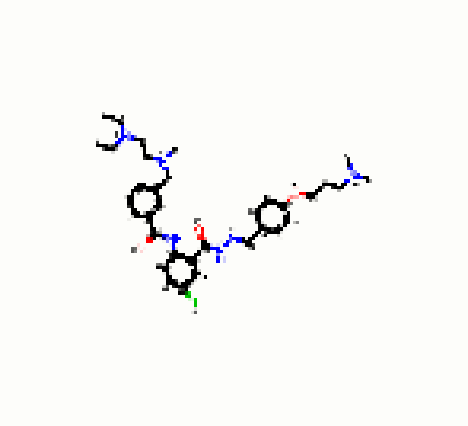 CCN(CC)CCN(C)Cc1cccc(C(=O)Nc2ccc(Cl)cc2C(=O)NN=Cc2ccc(OCCCN(C)C)cc2)c1